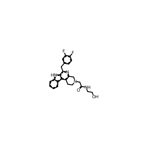 O=C(CN1CCc2c(nc(Cc3ccc(F)c(F)c3)c3[nH]c4ccccc4c23)C1)NCCO